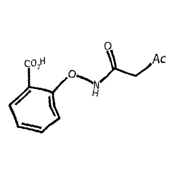 CC(=O)CC(=O)NOc1ccccc1C(=O)O